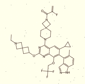 C=C(F)C(=O)N1CC2(CCN(c3nc(OC4CC5(C4)CN(CC)C5)nc4c(OCC(F)(F)F)c(-c5c(C)ccc6[nH]ncc56)c(C5CC5)cc34)CC2)C1